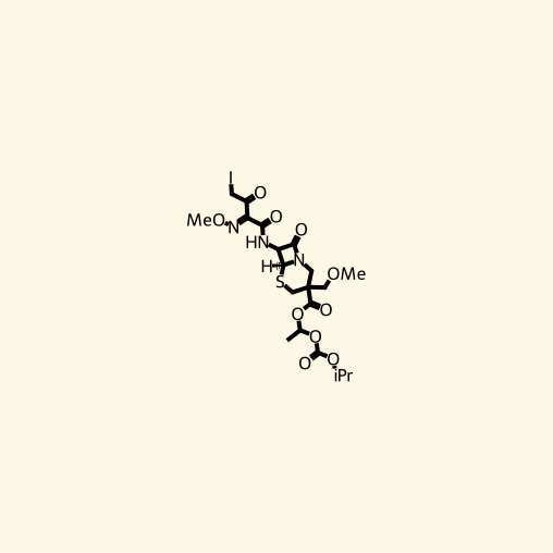 COCC1(C(=O)OC(C)OC(=O)OC(C)C)CS[C@@H]2C(NC(=O)C(=NOC)C(=O)CI)C(=O)N2C1